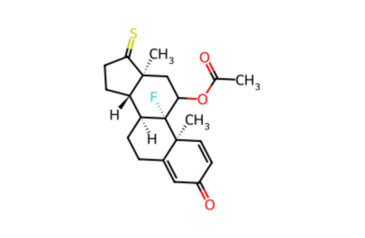 CC(=O)OC1C[C@]2(C)C(=S)CC[C@H]2[C@@H]2CCC3=CC(=O)C=C[C@]3(C)[C@]12F